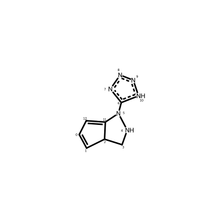 C1=CC2CNN(c3nnn[nH]3)C2=C1